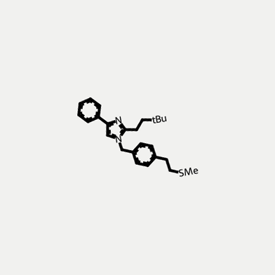 CSCCc1ccc(Cn2cc(-c3ccccc3)nc2CCC(C)(C)C)cc1